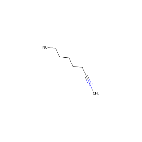 C[N+]#CCCCCCC#N